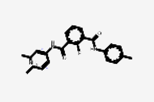 CC/C=C\C(=C/C(C)N)NC(=O)c1cccc(C(=O)Nc2ccc(C)cc2)c1F